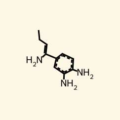 CC/C=C(\N)c1ccc(N)c(N)c1